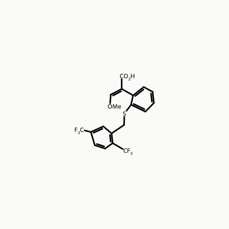 CO/C=C(/C(=O)O)c1ccccc1SCc1cc(C(F)(F)F)ccc1C(F)(F)F